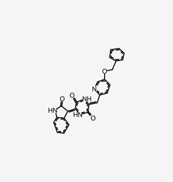 O=C1Nc2ccccc2C1=c1[nH]c(=O)c(=Cc2ccc(OCc3ccccc3)cn2)[nH]c1=O